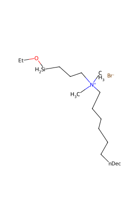 CCCCCCCCCCCCCCCC[N+](C)(C)CCC[SiH2]OCC.[Br-]